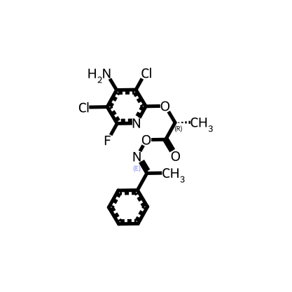 C/C(=N\OC(=O)[C@@H](C)Oc1nc(F)c(Cl)c(N)c1Cl)c1ccccc1